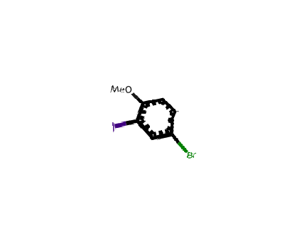 COc1c[c]c(Br)cc1I